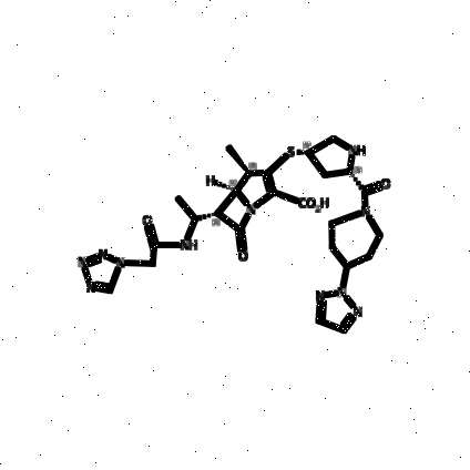 CC(NC(=O)Cn1cnnn1)[C@H]1C(=O)N2C(C(=O)O)=C(S[C@@H]3CN[C@H](C(=O)N4CCC(n5nccn5)CC4)C3)[C@H](C)[C@H]12